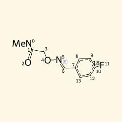 CNC(=O)CO/N=C/c1ccc([18F])cc1